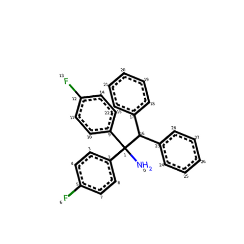 NC(c1ccc(F)cc1)(c1ccc(F)cc1)C(c1ccccc1)c1ccccc1